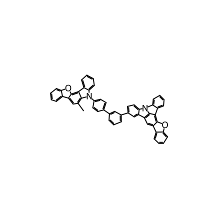 Cc1cc2c3ccccc3oc2c2c3ccccc3n(-c3ccc(-c4cccc(-c5ccc6c(c5)c5cc7c8ccccc8oc7c7c8ccccc8n6c57)c4)cc3)c12